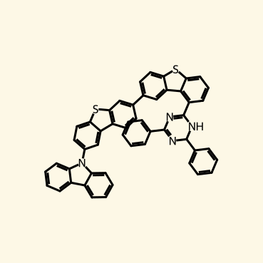 c1ccc(C2=NC(c3ccccc3)NC(c3cccc4sc5ccc(-c6ccc7c(c6)sc6ccc(-n8c9ccccc9c9ccccc98)cc67)cc5c34)=N2)cc1